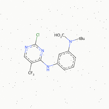 CC(C)(C)N(C(=O)O)c1cccc(Nc2nc(Cl)ncc2C(F)(F)F)c1